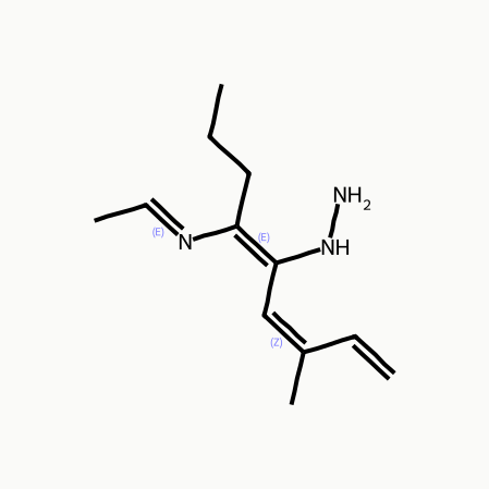 C=C\C(C)=C/C(NN)=C(CCC)\N=C\C